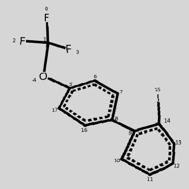 FC(F)(F)Oc1ccc(-c2ccccc2I)cc1